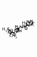 Cc1nc(C)c(C(=O)N2C[C@@H]3[C@@H](CCNC(=O)c4cnc5nccn5c4)[C@@H]3C2)o1